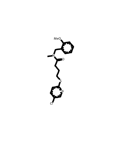 COc1ccccc1CN(C)C(=O)CCCSc1ccc(Cl)cn1